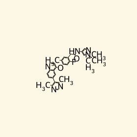 Cc1cc(CC(=O)Nc2cnn(C(C)(C)C)c2)c(F)cc1Oc1ccnc2ccc(-c3c(C)ncnc3C)cc12